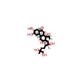 CC(O)(CO)CC[C@@H](O)[C@](C)(O)[C@H]1CC[C@@]2(O)C3=CC(=O)[C@@H]4C[C@@H](O)[C@@H](O)C[C@]4(C)[C@H]3CC[C@]12C